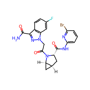 NC(=O)c1nn(CC(=O)N2[C@@H]3C[C@@H]3C[C@H]2C(=O)Nc2cccc(Br)n2)c2cc(F)ccc12